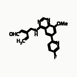 C=C/C(=C\C=O)CNc1ncnc2c(OC)cc(-c3ccc(F)cn3)cc12